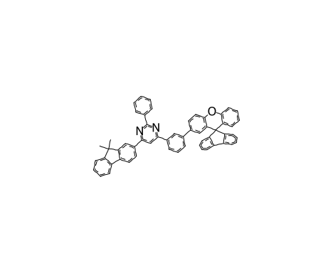 CC1(C)c2ccccc2-c2ccc(-c3cc(-c4cccc(-c5ccc6c(c5)C5(c7ccccc7O6)c6ccccc6-c6ccccc65)c4)nc(-c4ccccc4)n3)cc21